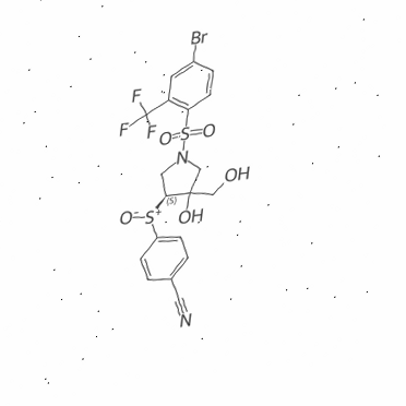 N#Cc1ccc([S+]([O-])[C@H]2CN(S(=O)(=O)c3ccc(Br)cc3C(F)(F)F)CC2(O)CO)cc1